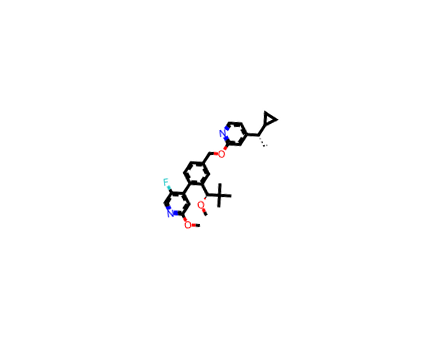 [CH2][C@H](c1ccnc(OCc2ccc(-c3cc(OC)ncc3F)c([C@@H](OC)C(C)(C)C)c2)c1)C1CC1